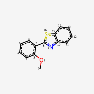 COc1ccccc1-c1nc2c[c]ccc2s1